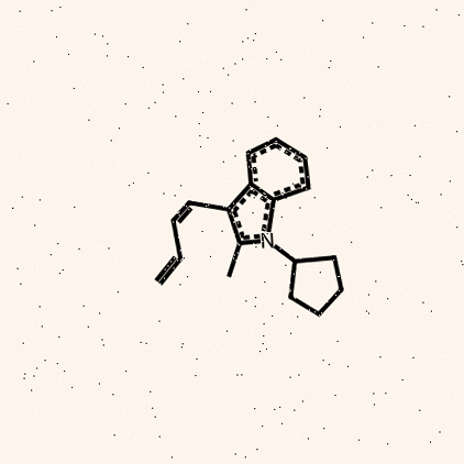 C=C/C=C\c1c(C)n(C2CCCC2)c2ccccc12